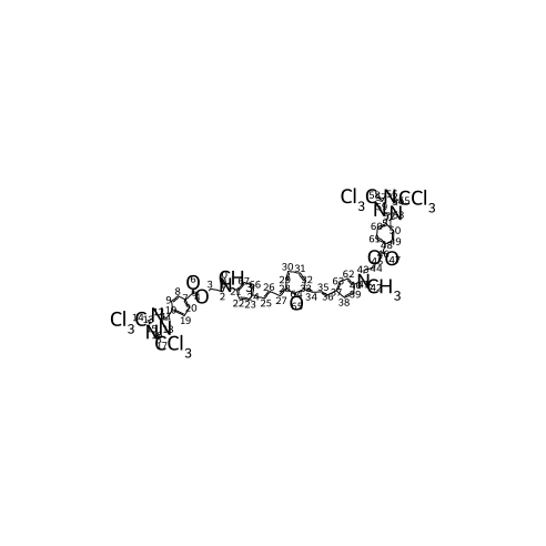 CN(CCOC(=O)c1ccc(-c2nc(C(Cl)(Cl)Cl)nc(C(Cl)(Cl)Cl)n2)cc1)c1ccc(/C=C/C=c2\cccc/c(=C\C=C\c3ccc(N(C)CCOC(=O)c4ccc(-c5nc(C(Cl)(Cl)Cl)nc(C(Cl)(Cl)Cl)n5)cc4)cc3)c2=O)cc1